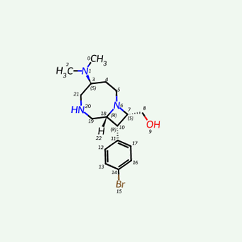 CN(C)[C@H]1CCN2[C@H](CO)[C@H](c3ccc(Br)cc3)[C@@H]2CNC1